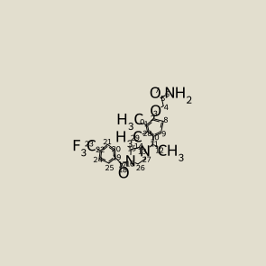 Cc1c(OCC(N)=O)ccc([C@@H](C)N2CCN(C(=O)c3ccc(C(F)(F)F)cc3)CC2)c1C